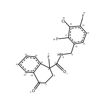 O=C1CCC(F)(C(=O)NCc2ccc(F)c(Cl)c2F)c2cccnc21